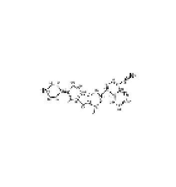 CC1CN(c2ccc(C#N)c3ncccc23)CC2c3ccc(N4CCNCC4)cc3CN12